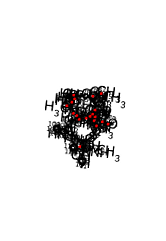 CCNC(=O)N[C@H](Cc1ccccc1)C(=O)N[C@H]1CSSC[C@@H](C(=O)N[C@@H](CSSCCC(=O)N(C)[C@@H](C)C(=O)O[C@H]2CC(=O)N(C)c3cc(cc(OC)c3Cl)C/C(C)=C/C=C/[C@@H](OC)[C@@]3(O)C[C@H](OC(=O)N3)C3(C)C[C@@]2(C)O3)C(N)=O)NC(=O)[C@H]([C@@H](C)O)NC(=O)[C@H](CCCCN)NC(=O)[C@@H](Cc2c[nH]c3ccccc23)NC(=O)[C@H](Cc2ccc(O)cc2)NC1=O